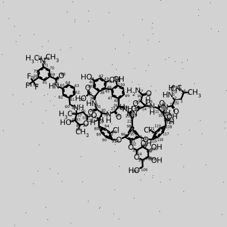 CN[C@@H](CC(C)C)C(=O)N[C@H]1C(=O)N[C@@H](CC(N)=O)C(=O)NC2C(=O)N[C@@H]3C(=O)N[C@@H](C(=O)N[C@@H](C(=O)O)c4cc(O)cc(O)c4-c4cc3ccc4O)[C@@H](O[C@@H]3CC(C)(NCc4cccc(NC(=O)c5cc(N(C)C)cc(C(F)(F)F)c5)c4)[C@H](O)[C@H](C)O3)c3ccc(c(Cl)c3)Oc3cc2cc(c3OC2OC(CO)[C@@H](O)[C@@H](O)[C@H]2O)Oc2ccc(cc2Cl)[C@H]1O